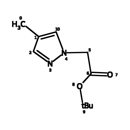 Cc1cnn(CC(=O)OC(C)(C)C)c1